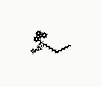 CCCCCCCC/C=C\CCCCCCCC(=O)O[C@H](COC(c1ccccc1)(c1ccccc1)c1ccccc1Cl)COP(=O)([O-])OCC[N+](C)(C)C